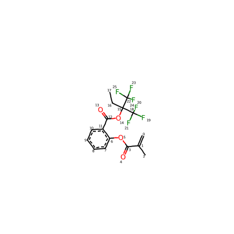 C=C(C)C(=O)Oc1ccccc1C(=O)OC(CC)(C(F)(F)F)C(F)(F)F